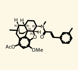 COc1cc(OC(C)=O)c2c3c1O[C@H]1[C@H](N(C)C(=O)C=Cc4cccc(C)c4)CC[C@H]4[C@@H](C2)N(C)CC[C@@]341